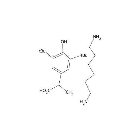 CC(C(=O)O)c1cc(C(C)(C)C)c(O)c(C(C)(C)C)c1.NCCCCCCN